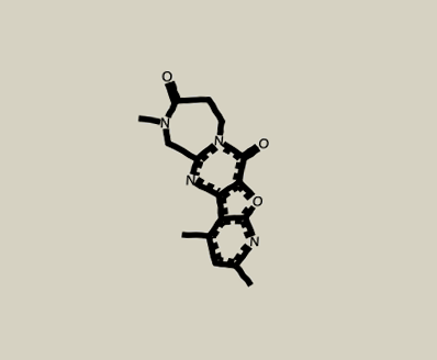 Cc1cc(C)c2c(n1)oc1c(=O)n3c(nc12)CN(C)C(=O)CC3